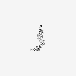 N#CCn1cc(-c2cnc3c(Nc4ccc(C(=O)N5CCN(CC(=O)NC6CNC6)CC5)c(Cl)c4)nccn23)c(C(F)(F)F)n1